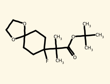 CC(C)(C)OC(=O)C(C)(C)C1(F)CCC2(CC1)OCCO2